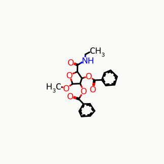 CCNC(=O)C1OC(OC)C(OC(=O)c2ccccc2)C1OC(=O)c1ccccc1